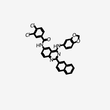 O=C(Nc1ccc2nc(-c3ccc4ccccc4c3)nc(Nc3ccc4c(c3)OCO4)c2c1)c1ccc(Cl)c(Cl)c1